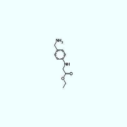 CCOC(=O)CNc1ccc(CN)cc1